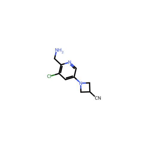 N#CC1CN(c2cnc(CN)c(Cl)c2)C1